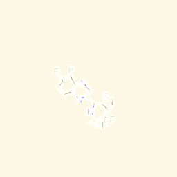 CC1(C)N=C(c2cnc3c(F)c(F)ccc3n2)c2sccc2C1(F)F